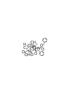 CC(=O)OC1C(C)C(C(=O)O)N2C(=O)C(NC(=O)C(NC(=O)OCc3ccccc3)c3ccccc3)[C@@H]12